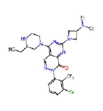 CCN(CC)C1CN(c2nc(N3CCNC(CC#N)C3)c3cnn(-c4cccc(Br)c4C(F)(F)F)c(=O)c3n2)C1